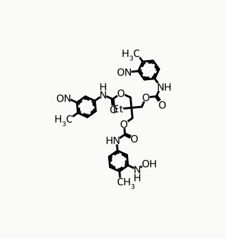 CCC(COC(=O)Nc1ccc(C)c(N=O)c1)(COC(=O)Nc1ccc(C)c(N=O)c1)COC(=O)Nc1ccc(C)c(NO)c1